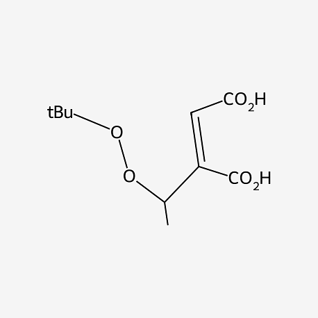 CC(OOC(C)(C)C)C(=CC(=O)O)C(=O)O